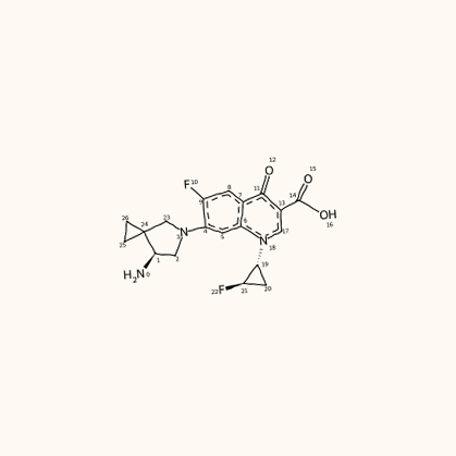 N[C@@H]1CN(c2cc3c(cc2F)c(=O)c(C(=O)O)cn3[C@@H]2C[C@H]2F)CC12CC2